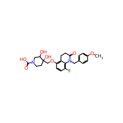 COc1ccc(CN2C(=O)CCc3c(OCC4(O)CCN(C(=O)O)CC4O)ccc(F)c32)cc1